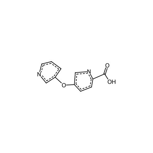 O=C(O)c1ccc(Oc2cccnc2)cn1